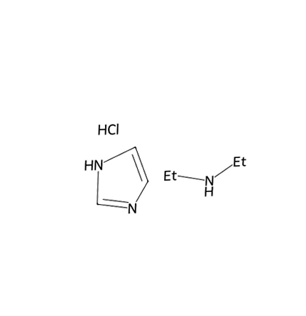 CCNCC.Cl.c1c[nH]cn1